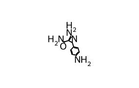 NC(=O)C1=C(N)N=C1c1ccc(N)cc1